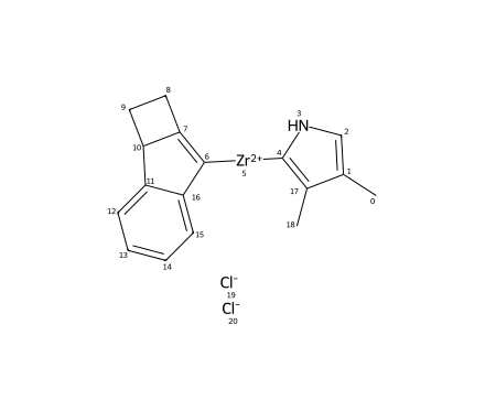 Cc1c[nH][c]([Zr+2][C]2=C3CCC3c3ccccc32)c1C.[Cl-].[Cl-]